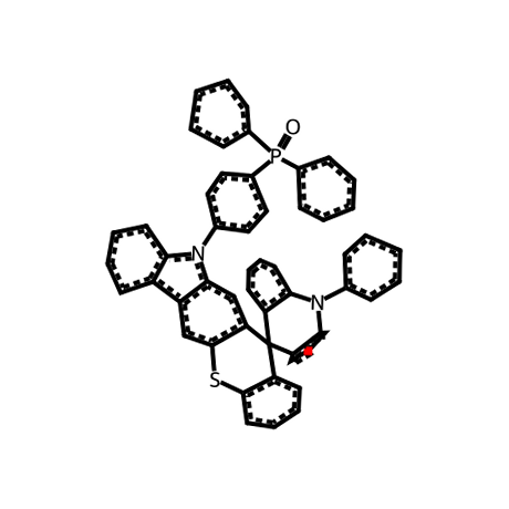 O=P(c1ccccc1)(c1ccccc1)c1ccc(-n2c3ccccc3c3cc4c(cc32)C2(c3ccccc3S4)c3ccccc3N(c3ccccc3)c3ccccc32)cc1